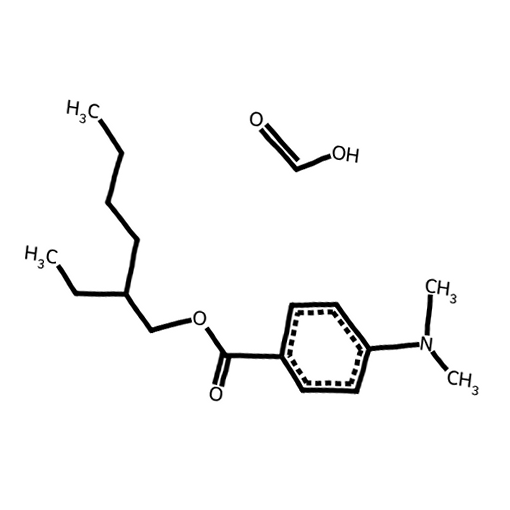 CCCCC(CC)COC(=O)c1ccc(N(C)C)cc1.O=CO